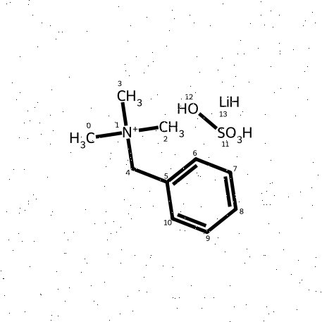 C[N+](C)(C)Cc1ccccc1.O=S(=O)(O)O.[LiH]